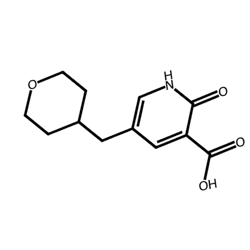 O=C(O)c1cc(CC2CCOCC2)c[nH]c1=O